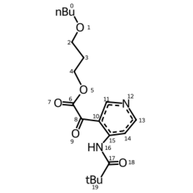 CCCCOCCCOC(=O)C(=O)c1cnccc1NC(=O)C(C)(C)C